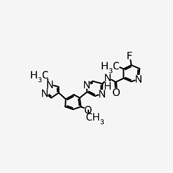 COc1ccc(-c2cnn(C)c2)cc1-c1cnc(NC(=O)c2cncc(F)c2C)cn1